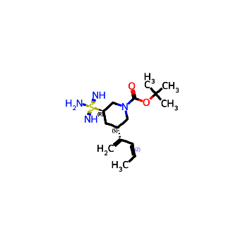 C=C(/C=C\C)[C@@H]1C[C@@H](S(=N)(=N)N)CN(C(=O)OC(C)(C)C)C1